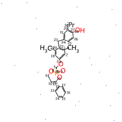 Cc1cc(OC[P@]2(=O)OCC[C@@H](c3ccccc3)O2)cc(C)c1Cc1ccc(O)c(C(C)C)c1